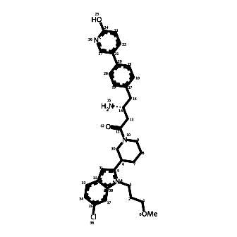 COCCCn1c(C2CCCN(C(=O)C[C@H](N)Cc3ccc(-c4ccc(O)nc4)cc3)C2)cc2ccc(Cl)cc21